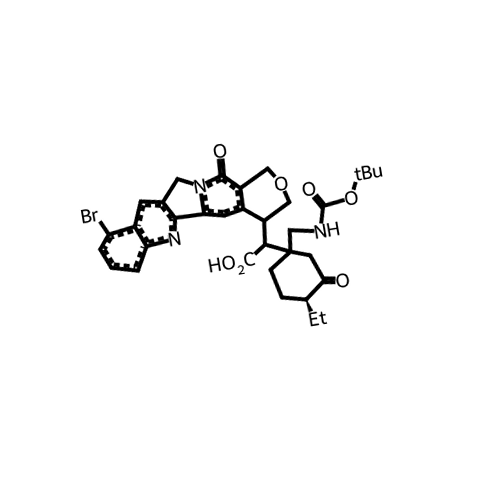 CC[C@H]1CCC(CNC(=O)OC(C)(C)C)(C(C(=O)O)C2COCc3c2cc2n(c3=O)Cc3cc4c(Br)cccc4nc3-2)CC1=O